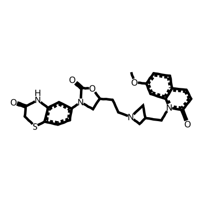 COc1ccc2ccc(=O)n(CC3CN(CCC4CN(c5ccc6c(c5)NC(=O)CS6)C(=O)O4)C3)c2c1